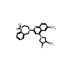 Cc1ccc2nc(N3CCS(=O)(=O)c4ccccc4C3)cc(N3CC(N)C(F)C3)c2c1